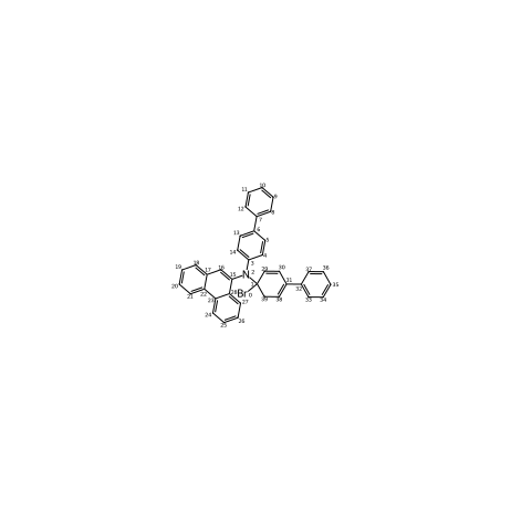 BrC1(N(c2ccc(-c3ccccc3)cc2)c2cc3ccccc3c3ccccc23)C=CC(c2ccccc2)=CC1